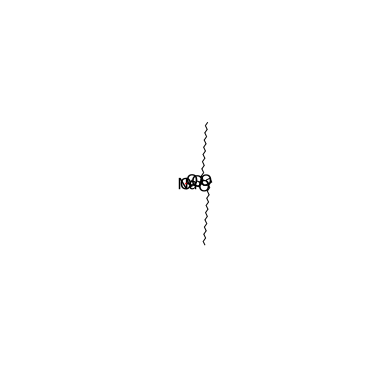 CC(=O)[O-].CCCCCCCCCCCCCCCCCC1(OC2(CCCCCCCCCCCCCCCCC)CCO2)CCO1.[Na+]